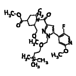 COCC1CC(C(=O)OC)CC(C)N1C(=O)c1cc(-c2cc(OC)ncc2F)n(COCC[Si](C)(C)C)n1